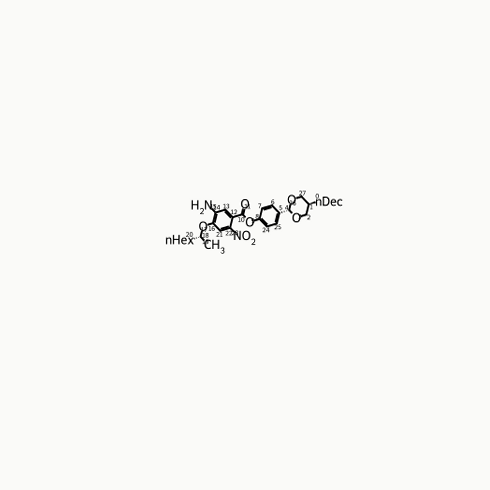 CCCCCCCCCC[C@H]1CO[C@H](c2ccc(OC(=O)c3cc(N)c(O[C@H](C)CCCCCC)cc3[N+](=O)[O-])cc2)OC1